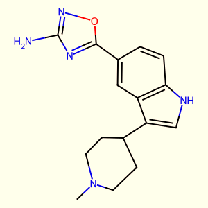 CN1CCC(c2c[nH]c3ccc(-c4nc(N)no4)cc23)CC1